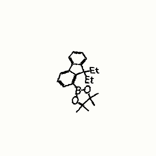 CCC1(CC)c2ccccc2-c2cccc(B3OC(C)(C)C(C)(C)O3)c21